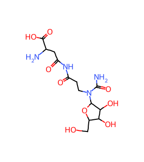 NC(=O)N(CCC(=O)NC(=O)CC(N)C(=O)O)C1OC(CO)C(O)C1O